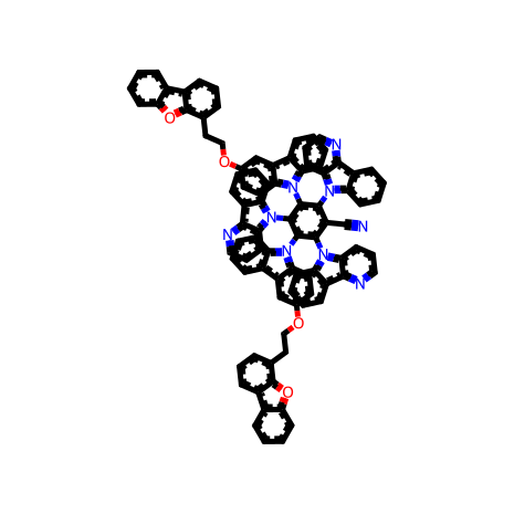 N#Cc1c(-n2c3ccccc3c3ncccc32)c(-n2c3ccccc3c3cc(OCCc4cccc5c4oc4ccccc45)ccc32)c(-n2c3ccccc3c3ncccc32)c(-n2c3ccccc3c3cc(OCCc4cccc5c4oc4ccccc45)ccc32)c1-n1c2ccccc2c2ncccc21